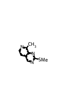 CSc1ncc2ccnc(C)c2n1